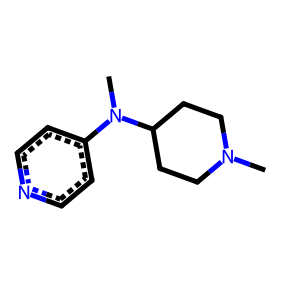 CN1CCC(N(C)c2ccncc2)CC1